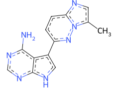 Cc1cnc2ccc(-c3c[nH]c4ncnc(N)c34)nn12